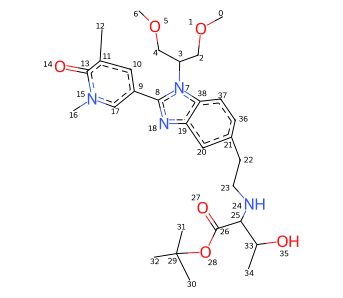 COCC(COC)n1c(-c2cc(C)c(=O)n(C)c2)nc2cc(CCNC(C(=O)OC(C)(C)C)C(C)O)ccc21